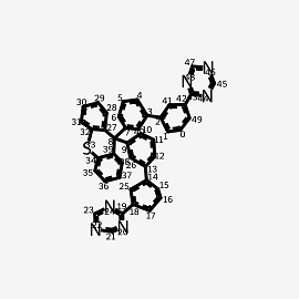 c1cc(-c2cccc(C3(c4cccc(-c5cccc(-c6ncncn6)c5)c4)c4ccccc4Sc4ccccc43)c2)cc(-c2ncncn2)c1